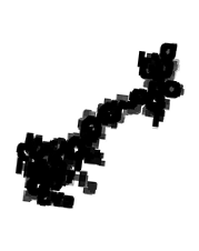 CCc1cc(Nc2ncc(Cl)c(Nc3ccc(OC)cc3NS(C)(=O)=O)n2)c(OC)cc1N1CCC(N2CCN(CCOc3cc(F)cc4c3CN(C3CCC(=O)NC3=O)C4=O)CC2)CC1